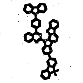 CC1(C)c2ccccc2-c2cc(-c3ccc4c(c3)c3ccc5c6ccccc6sc5c3n4-c3nc(-c4ccc(-n5c6ccccc6c6ccccc65)cc4)c4ccccc4n3)ccc21